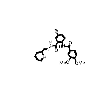 COc1ccc(C(=O)Nc2ccc(Br)cc2C(=O)N/N=C/c2ccccn2)cc1OC